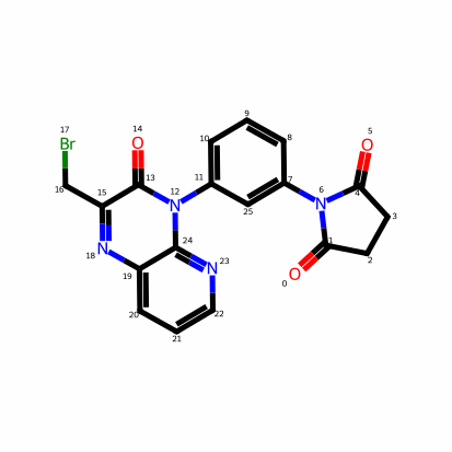 O=C1CCC(=O)N1c1cccc(-n2c(=O)c(CBr)nc3cccnc32)c1